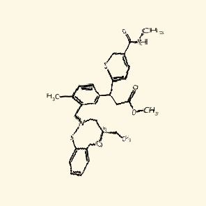 CC[C@@H]1CN(Cc2cc(C(CC(=O)OC)C3=CC=C(C(=O)NC)CS3)ccc2C)Sc2ccccc2O1